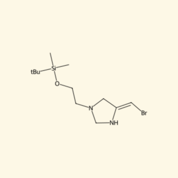 CC(C)(C)[Si](C)(C)OCCN1CN/C(=C\Br)C1